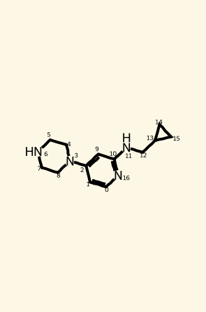 c1cc(N2CCNCC2)cc(NCC2CC2)n1